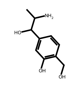 CC(N)C(O)c1ccc(CO)c(O)c1